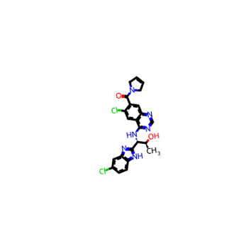 C[C@H](O)[C@@H](Nc1ncnc2cc(C(=O)N3CC=CC3)c(Cl)cc12)c1nc2cc(Cl)ccc2[nH]1